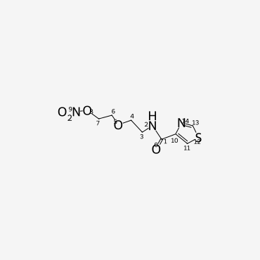 O=C(NCCOCCO[N+](=O)[O-])c1cscn1